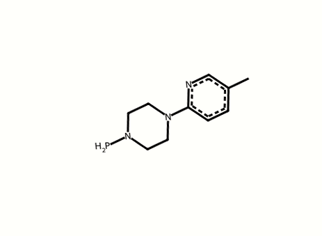 Cc1ccc(N2CCN(P)CC2)nc1